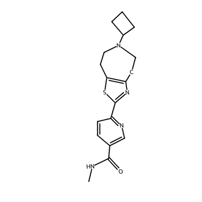 CNC(=O)c1ccc(-c2nc3c(s2)CCN(C2CCC2)CC3)nc1